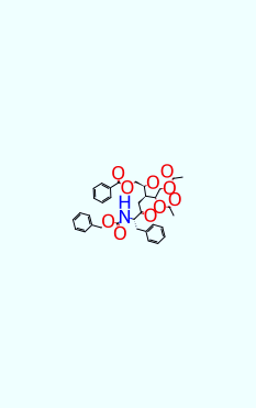 CC(=O)OC1O[C@H](COC(=O)c2ccccc2)[C@H](CC(=O)[C@H](Cc2ccccc2)NC(=O)OCc2ccccc2)C1OC(C)=O